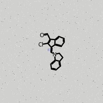 O=CC1=C(Cl)/C(=C/N2CCc3ccccc32)c2ccccc21